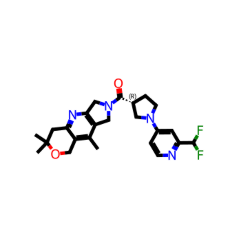 Cc1c2c(nc3c1CN(C(=O)[C@@H]1CCN(c4ccnc(C(F)F)c4)C1)C3)CC(C)(C)OC2